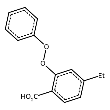 CCc1ccc(C(=O)O)c(OOc2ccccc2)c1